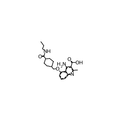 CCCNC(=O)C1CCC(COc2cccc3nc(C)c(C(=O)O)c(N)c23)CC1